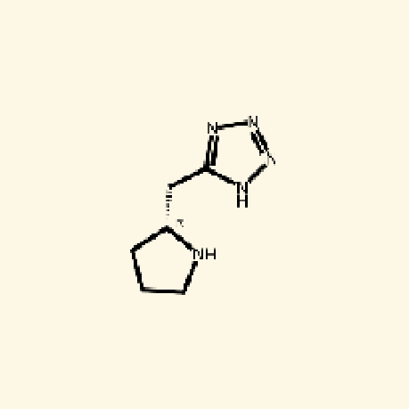 C1CN[C@@H](Cc2nnn[nH]2)C1